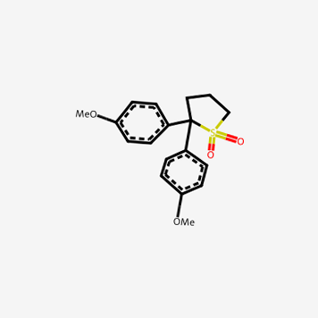 COc1ccc(C2(c3ccc(OC)cc3)CCCS2(=O)=O)cc1